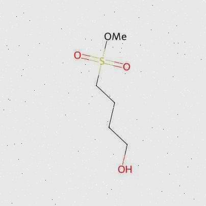 COS(=O)(=O)CCCCO